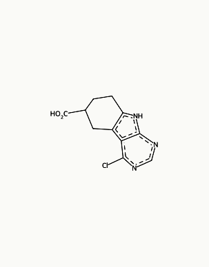 O=C(O)C1CCc2[nH]c3ncnc(Cl)c3c2C1